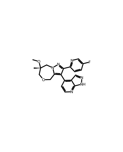 CO[C@@]1(C)COCc2c(-c3ccnc4[nH]ncc34)c(-c3ccc(F)cn3)nn2C1